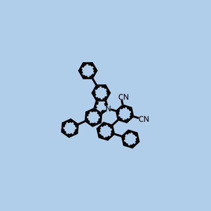 N#Cc1cc(C#N)c(-n2c3ccc(-c4ccccc4)cc3c3cc(-c4ccccc4)ccc32)c(-c2ccccc2-c2ccccc2)c1